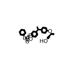 C=C(C#CO)Oc1ccc(C(C)c2ccc(OP(=O)(Oc3ccccc3)C(C)C)cc2)cc1